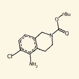 CCCCOC(=O)N1CCc2c(ccc(Cl)c2N)C1